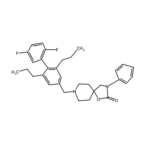 CCCc1cc(CN2CCC3(CC2)CN(c2ccccc2)C(=O)O3)cc(CCC)c1-c1cc(F)ccc1F